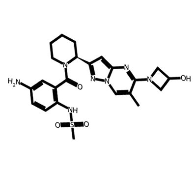 Cc1cn2nc([C@@H]3CCCCN3C(=O)c3cc(N)ccc3NS(C)(=O)=O)cc2nc1N1CC(O)C1